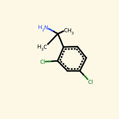 CC(C)(N)c1ccc(Cl)cc1Cl